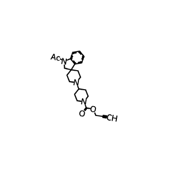 C#CCOC(=O)N1CCC(N2CCC3(CC2)CN(C(C)=O)c2ccccc23)CC1